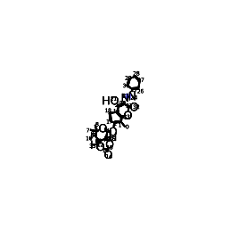 Cc1c(OC2OC(C)(C)[C@H](C)[C@@H]3OC(=O)O[C@H]23)ccc2c(O)c(/N=N/c3ccccc3)c(=O)oc12